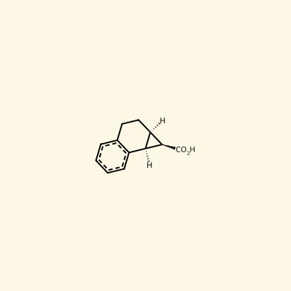 O=C(O)[C@@H]1[C@@H]2CCc3ccccc3[C@@H]21